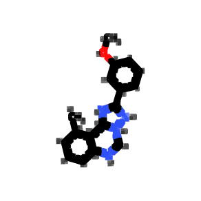 COc1cccc(-c2nc3c4c(C)cccc4ncn3n2)c1